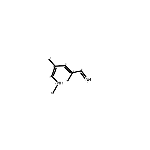 CN/C=C(C)\C=C(/C)C=N